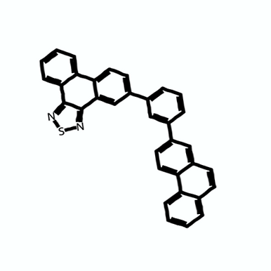 c1cc(-c2ccc3c(ccc4ccccc43)c2)cc(-c2ccc3c4ccccc4c4nsnc4c3c2)c1